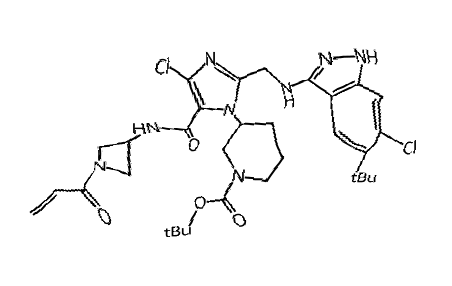 C=CC(=O)N1CC(NC(=O)c2c(Cl)nc(CNc3n[nH]c4cc(Cl)c(C(C)(C)C)cc34)n2C2CCCN(C(=O)OC(C)(C)C)C2)C1